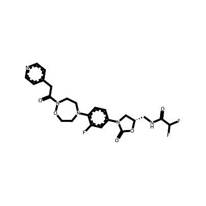 O=C(NC[C@H]1CN(c2ccc(N3CCON(C(=O)Cc4ccncc4)CC3)c(F)c2)C(=O)O1)C(F)F